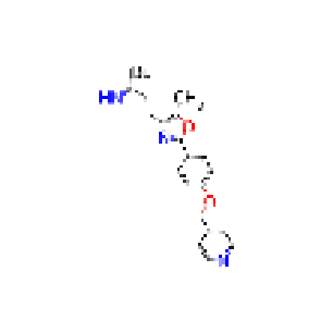 CCC(C)C(=N)CCc1nc(-c2ccc(OCc3ccncc3)cc2)oc1C